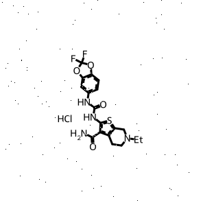 CCN1CCc2c(sc(NC(=O)Nc3ccc4c(c3)OC(F)(F)O4)c2C(N)=O)C1.Cl